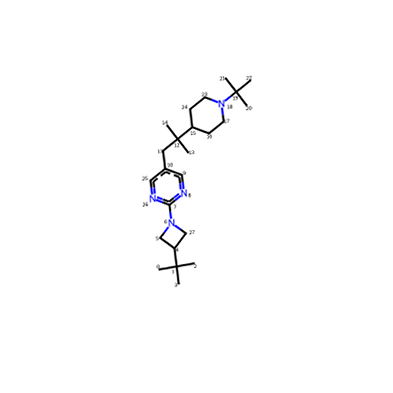 CC(C)(C)C1CN(c2ncc(CC(C)(C)C3CCN(C(C)(C)C)CC3)cn2)C1